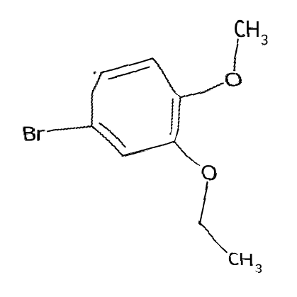 CCOc1cc(Br)[c]cc1OC